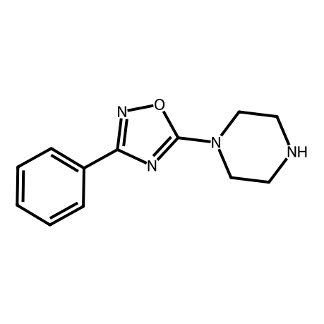 c1ccc(-c2noc(N3CCNCC3)n2)cc1